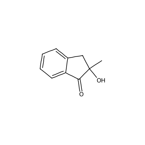 CC1(O)Cc2ccccc2C1=O